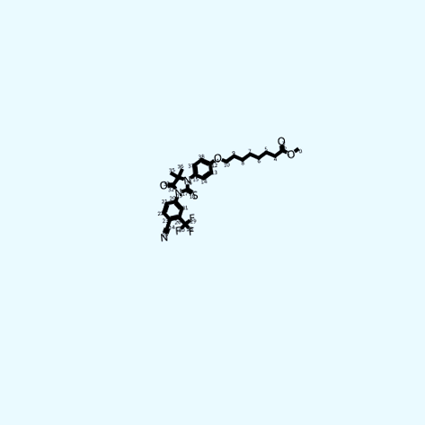 COC(=O)CCCCCCCOc1ccc(N2C(=S)N(c3ccc(C#N)c(C(F)(F)F)c3)C(=O)C2(C)C)cc1